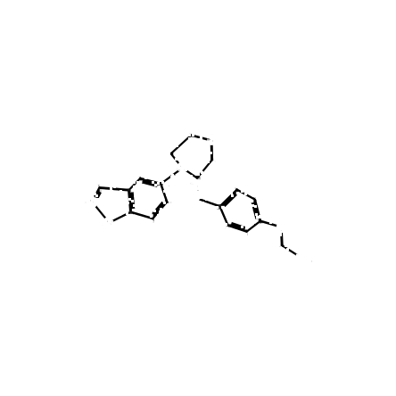 CCOc1ccc(C[C@H]2CNCCN2c2ccc3[nH]ncc3c2)cc1